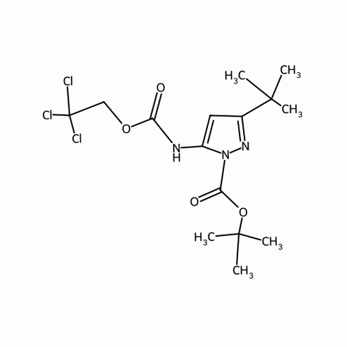 CC(C)(C)OC(=O)n1nc(C(C)(C)C)cc1NC(=O)OCC(Cl)(Cl)Cl